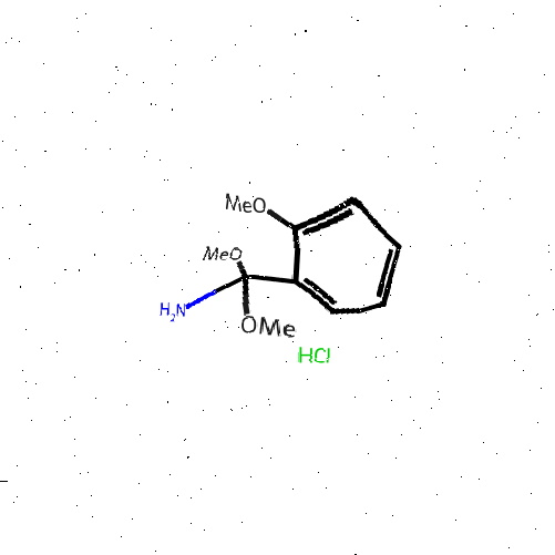 COc1ccccc1C(N)(OC)OC.Cl